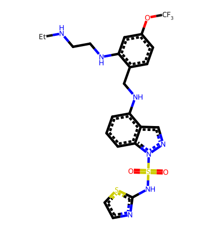 CCNCCNc1cc(OC(F)(F)F)ccc1CNc1cccc2c1cnn2S(=O)(=O)Nc1nccs1